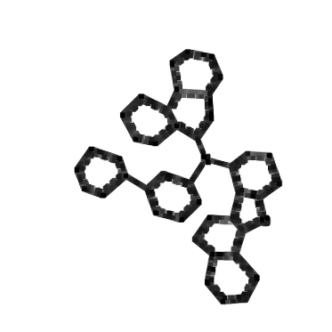 c1ccc(-c2cccc(N(c3cc4ccccc4c4ccccc34)c3cccc4oc5c6ccccc6ccc5c34)c2)cc1